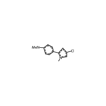 CNc1ccc(-c2cc(Cl)cn2C)cc1